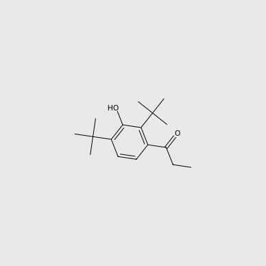 CCC(=O)c1ccc(C(C)(C)C)c(O)c1C(C)(C)C